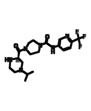 CC(C)N1CCN[C@@H](C(=O)N2CCN(C(=O)Nc3ccc(C(F)(F)F)nc3)CC2)C1